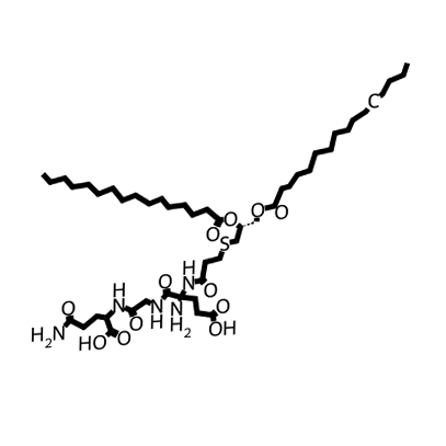 CCCCCCCCCCCCCCCC(=O)OC[C@H](CSCCC(=O)N[C@](N)(CCC(=O)O)C(=O)NCC(=O)NC(CCC(N)=O)C(=O)O)OC(=O)CCCCCCCCCCCCCCC